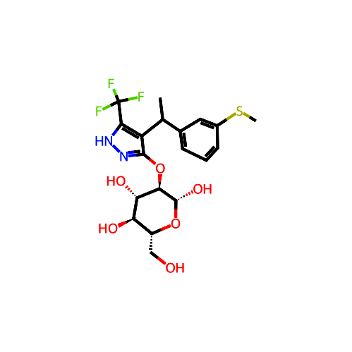 CSc1cccc(C(C)c2c(O[C@@H]3[C@@H](O)[C@H](O)[C@@H](CO)O[C@H]3O)n[nH]c2C(F)(F)F)c1